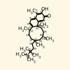 CC1=C(O)C(=O)C=C2C1=CC=C1[C@@H](C)CC[C@@](C)(CCC(C)(C)N(C)C)C[C@H](C)CC[C@@]21C